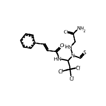 NC(=O)CNN(C=S)C(NC(=O)C=Cc1ccccc1)C(Cl)(Cl)Cl